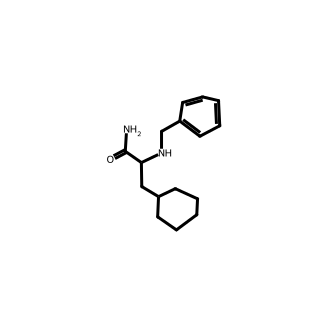 NC(=O)C(CC1CCCCC1)NCc1ccccc1